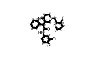 O=C(Nc1ccc(F)c(F)c1)c1c2c(nc3ccccc13)CCN(Cc1ncccc1F)C2